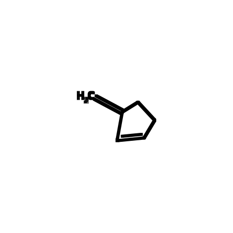 C=C1C=CCC1